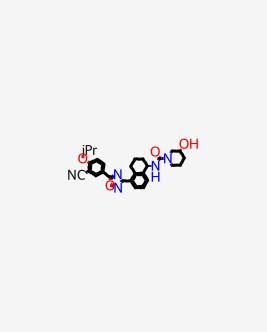 CC(C)Oc1ccc(-c2nc(-c3cccc4c3CCC[C@H]4NC(=O)N3CCC[C@H](O)C3)no2)cc1C#N